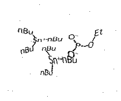 CCC[CH2][Sn+]([CH2]CCC)[CH2]CCC.CCC[CH2][Sn+]([CH2]CCC)[CH2]CCC.CCOP([O-])[O-]